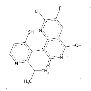 CC(C)c1nccc(S)c1-n1c(=O)nc(O)c2cc(F)c(Cl)nc21